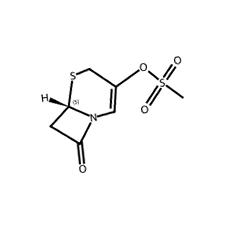 CS(=O)(=O)OC1=CN2C(=O)C[C@@H]2SC1